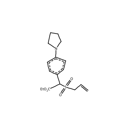 C=CCS(=O)(=O)C(C(=O)OCC)c1ccc(N2CCCC2)cc1